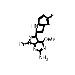 COc1nc(N)nc2c1c(-c1cc3cc(F)ccc3[nH]1)nn2C(C)C